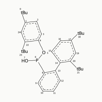 CC(C)(C)c1ccc(OP(O)c2ccccc2-c2ccc(C(C)(C)C)cc2C(C)(C)C)c(C(C)(C)C)c1